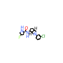 O=C(N[C@H]1CC[C@@H]2CN(c3cccc(Cl)c3)C[C@@H]21)[C@@H]1C[C@@H](F)CN1